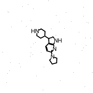 c1cc2c(nc1N1CCCC1)NCC2C1CCNCC1